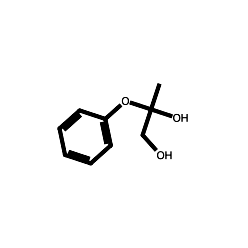 CC(O)(CO)Oc1ccccc1